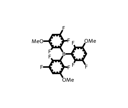 COc1cc(F)c(F)c(B(c2c(F)c(F)cc(OC)c2F)c2c(F)c(F)cc(OC)c2F)c1F